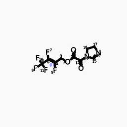 O=C(OC/C(F)=C(\F)C(F)(F)F)C(=O)N1C=NCC1